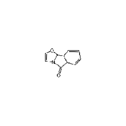 O=C1C2C=CC=CC2C2OC=CN12